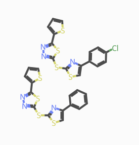 Clc1ccc(-c2csc(Sc3nnc(-c4cccs4)s3)n2)cc1.c1ccc(-c2csc(Sc3nnc(-c4cccs4)s3)n2)cc1